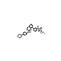 C=CS(=O)(=O)Nc1cccc(-c2cccc3cnc(Nc4ccc(N5CCOCC5)cc4)nc23)c1